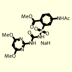 COC(=O)c1ccc(NC(C)=O)cc1S(=O)(=O)NC(=O)Nc1nc(OC)cc(OC)n1.[NaH]